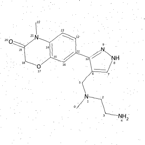 CN(CCN)Cc1c[nH]nc1-c1ccc2c(c1)OCC(=O)N2C